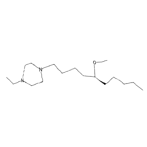 CCCCC[C@@H](CCCCN1CCN(CC)CC1)OC